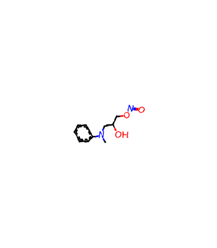 CN(CC(O)CON=O)c1ccccc1